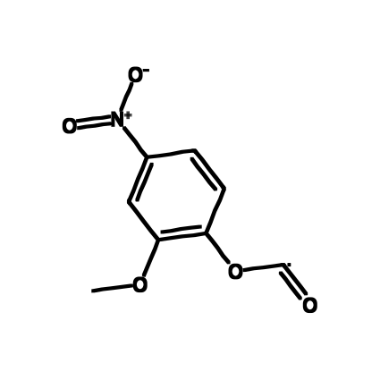 COc1cc([N+](=O)[O-])ccc1O[C]=O